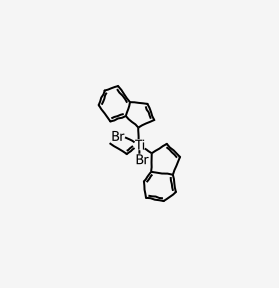 C[CH]=[Ti]([Br])([Br])([CH]1C=Cc2ccccc21)[CH]1C=Cc2ccccc21